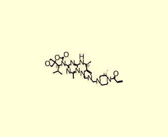 C=CC(=O)N1CCN(Cn2cnc([C@H](C)Nc3nc(C)nc(N4C(=O)OC5(COC5)[C@@H]4C(C)C)n3)c2)C[C@@H]1C